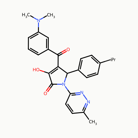 Cc1ccc(N2C(=O)C(O)=C(C(=O)c3cccc(N(C)C)c3)C2c2ccc(C(C)C)cc2)nn1